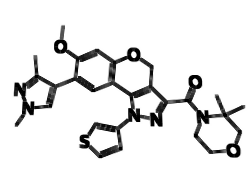 COc1cc2c(cc1-c1cn(C)nc1C)-c1c(c(C(=O)N3CCOCC3(C)C)nn1-c1ccsc1)CO2